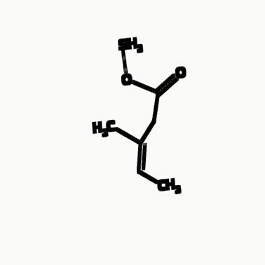 CC=C(C)CC(=O)O[SiH3]